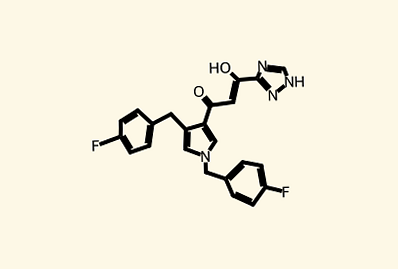 O=C(C=C(O)c1nc[nH]n1)c1cn(Cc2ccc(F)cc2)cc1Cc1ccc(F)cc1